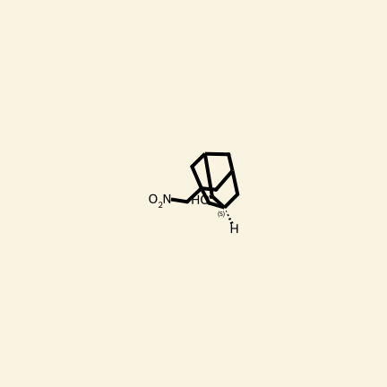 O=[N+]([O-])CC12CC3CC(C1)C(O)[C@@H](C3)C2